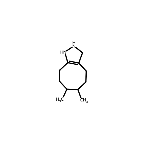 CC1CCC2=C(CCC1C)NNC2